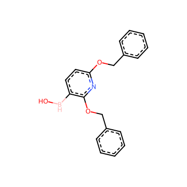 OBc1ccc(OCc2ccccc2)nc1OCc1ccccc1